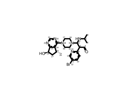 CC(C)NC(C(C=O)c1ccc(Br)cn1)N1CCN(c2ncnc3c2[C@H](C)C[C@H]3O)CC1